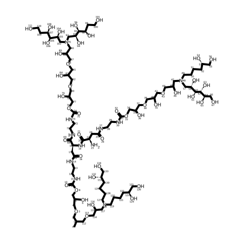 CC(COCC(O)COC(=O)NCCNC(=O)C[C@H](NC(=O)[C@H](N)CC(=O)NCCNC(=O)OCC(O)COCC(O)COCC(O)CN(CCCC[C@H](O)CO)C[C@H](O)[C@@H](O)[C@H](O)[C@H](O)CO)C(=O)NCCNC(=O)OCC(O)COCC(O)COCC(O)CN(C[C@H](O)[C@@H](O)[C@H](O)CCO)C[C@H](O)[C@@H](O)[C@H](O)CCO)COCC(O)CN(CCCC[C@H](O)CO)CCCC[C@H](O)CO